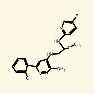 CCC(CNc1cc(-c2ccccc2O)nnc1N)Nc1ccc(F)cn1